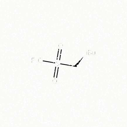 CC[C@H](C)CS(=O)(=O)C(F)(F)F